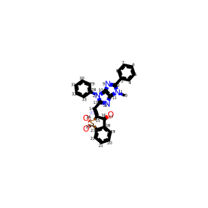 Cn1c(-c2ccccc2)nc2c1nc(/C=C1\C(=O)c3ccccc3S1(=O)=O)n2-c1ccccc1